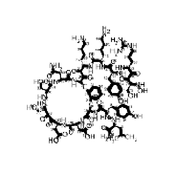 CC(C)C[C@H](NN[C@@H](Cc1ccc(O)cc1)C(=O)NC1Cc2ccccc2CC(C(=O)C(=O)[C@H](CCCCN)NC(=O)[C@H](CCCCN)NC(=O)[C@H](Cc2ccc(O)cc2)NN[C@@H](CCCNC(N)N)C(=O)C(=O)[C@H](CO)NO)NC(=O)[C@H](CC(N)=O)NC(=O)[C@H](CO)NN[C@@H](CO)C(=O)C(=O)[C@H](CC(=O)O)NC(=O)[C@H](CC(=O)O)NC1=O)C(N)=O